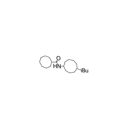 CCC(C)C1CCCCC(NC(=O)C2CCCCCCC2)CCC1